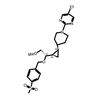 CCc1cnc(N2CCC([C@H]3C[C@H]3[C@@H](COC)OCc3ccc(S(C)(=O)=O)cc3)CC2)nc1